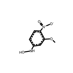 COc1cc(NO)ccc1[N+](=O)[O-]